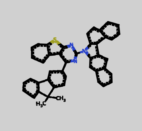 CC1(C)c2ccccc2-c2cc(-c3nc(-n4c5cc6ccccc6cc5c5c6ccccc6ccc54)nc4sc5ccccc5c34)ccc21